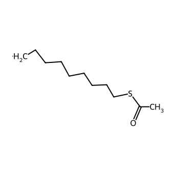 [CH2]CCCCCCCCSC(C)=O